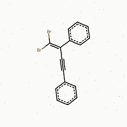 BrC(Br)=C(C#Cc1ccccc1)c1ccccc1